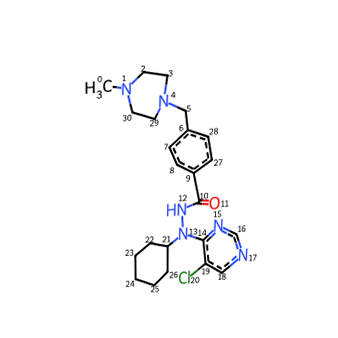 CN1CCN(Cc2ccc(C(=O)NN(c3ncncc3Cl)C3CCCCC3)cc2)CC1